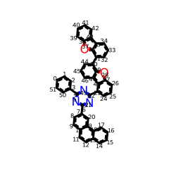 c1ccc(-c2nc(-c3ccc4ccc5ccccc5c4c3)nc(-c3cccc4oc5c(-c6cccc7c6oc6ccccc67)cccc5c34)n2)cc1